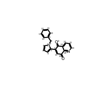 O=C1C(c2cccn2Cc2ccccc2)=CC(=O)c2ncccc21